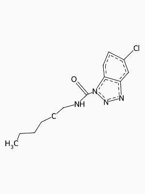 CCCCCCNC(=O)n1nnc2cc(Cl)ccc21